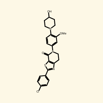 COc1cc(N2CCc3nc(-c4ccc(Cl)cc4)sc3C2=O)ccc1N1CCC(O)CC1